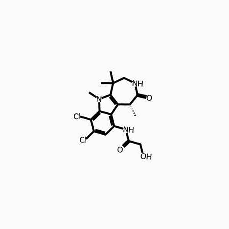 C[C@H]1C(=O)NCC(C)(C)c2c1c1c(NC(=O)CO)cc(Cl)c(Cl)c1n2C